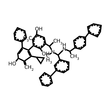 C=C1C(C2CC2)=C(c2c(C)c(O)cc(C(C)N(C)C(NC(C)c3ccc(-c4ccccc4)cc3)c3cccc(-c4ccccc4)c3)c2O)C(c2ccccc2)=CC1O